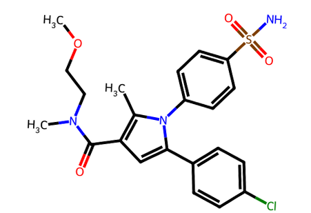 COCCN(C)C(=O)c1cc(-c2ccc(Cl)cc2)n(-c2ccc(S(N)(=O)=O)cc2)c1C